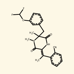 CC(=C1NC(=O)C(C)(Cc2cccc(OC(F)F)c2)N(C)C1=O)c1ccccc1C#N